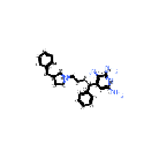 Nc1cc([C@H](CCCN2CCC(Cc3ccccc3)C2)c2ccccc2)c(N)c(N)n1